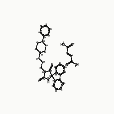 O=C(O)C=CC(=O)O.O=C1NC(c2ccccc2)(c2cccnc2)C(=O)N1CCCN1CCC(c2ccccc2)CC1